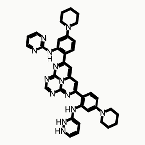 C1=CNNC(Nc2cc(N3CCCCC3)ccc2C2=CC3=CC(c4ccc(N5CCCCC5)cc4Nc4ncccn4)=NC4=NC=NC(=N2)N34)=C1